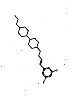 CCCC1CCC(C2CCC(CCC=Cc3cc(F)cc(F)c3)CC2)CC1